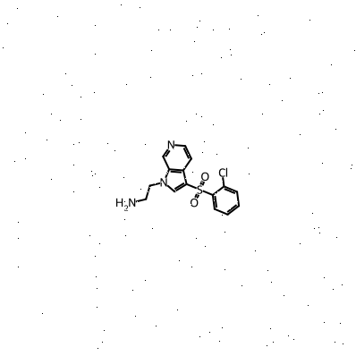 NCCn1cc(S(=O)(=O)c2ccccc2Cl)c2ccncc21